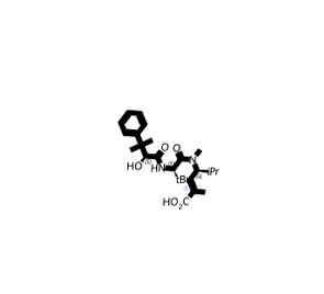 C/C(=C\[C@H](C(C)C)N(C)C(=O)[C@@H](NC(=O)[C@@H](O)C(C)(C)c1ccccc1)C(C)(C)C)C(=O)O